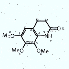 COc1cc2c(c(OC)c1OC)NC(=O)CC2